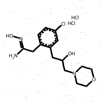 Cl.Cl.NC(Cc1ccc(Cl)cc1CC(O)CN1CCOCC1)=NO